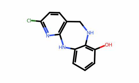 Oc1cccc2c1NCc1ccc(Cl)nc1N2